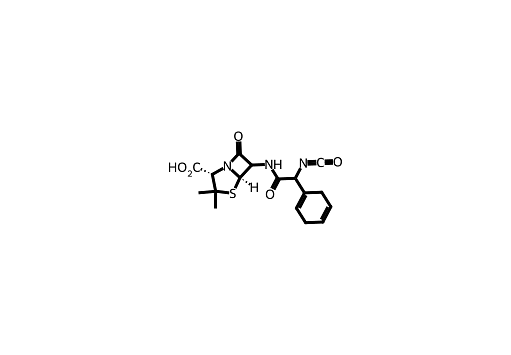 CC1(C)S[C@@H]2C(NC(=O)C(N=C=O)C3=CCC=CC3)C(=O)N2[C@H]1C(=O)O